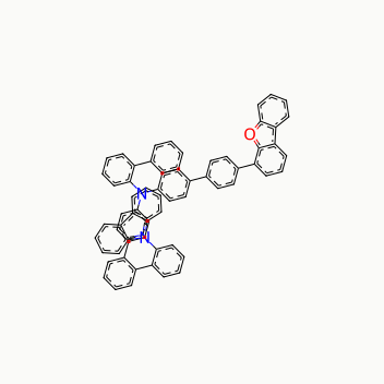 c1ccc(-c2ccccc2N(c2ccc(-c3ccc(-c4cccc5c4oc4ccccc45)cc3)cc2)c2ccc(-c3ccccc3-c3ccccc3-n3c4ccccc4c4ccccc43)cc2)cc1